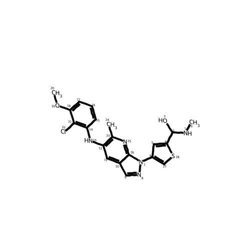 CNC(O)c1cc(-n2ncc3cc(Nc4cccc(OC)c4Cl)c(C)nc32)cs1